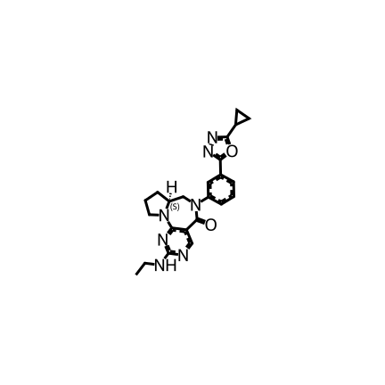 CCNc1ncc2c(n1)N1CCC[C@H]1CN(c1cccc(-c3nnc(C4CC4)o3)c1)C2=O